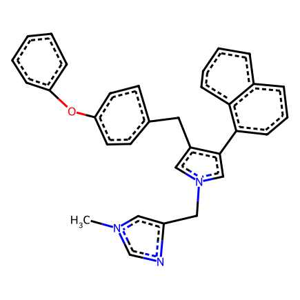 Cn1cnc(Cn2cc(Cc3ccc(Oc4ccccc4)cc3)c(-c3cccc4ccccc34)c2)c1